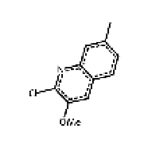 COc1cc2ccc(C)cc2nc1Cl